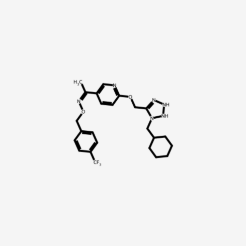 CC(=NOCc1ccc(C(F)(F)F)cc1)c1ccc(OCC2=NNNN2CC2CCCCC2)nc1